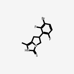 Cc1[nH]c(=S)n2c1CC(c1c(F)ccc(Br)c1F)C2